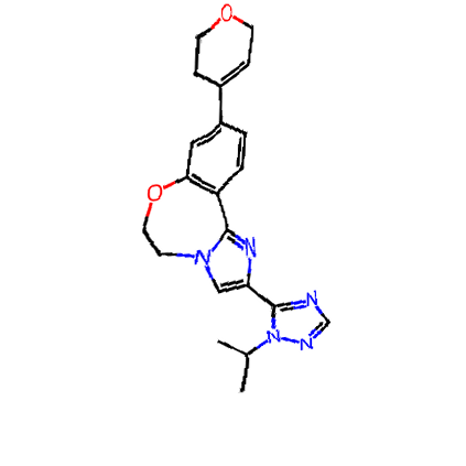 CC(C)n1ncnc1-c1cn2c(n1)-c1ccc(C3=CCOCC3)cc1OCC2